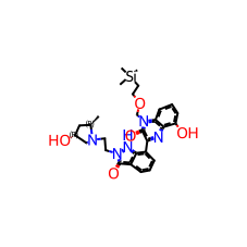 C[C@@H]1C[C@@H](O)CN1CCn1[nH]c2c(-c3nc4c(O)cccc4n(COCC[Si](C)(C)C)c3=O)cccc2c1=O